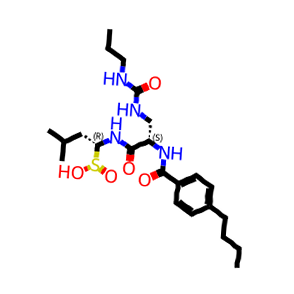 CCCCc1ccc(C(=O)N[C@@H](CNC(=O)NCCC)C(=O)N[C@@H](CC(C)C)S(=O)O)cc1